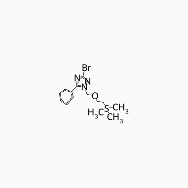 CS(C)(C)CCOCn1nc(Br)nc1-c1ccccc1